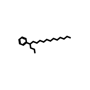 CCCCCCCCCCCCC(CCC)c1ccccc1